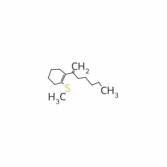 C=C(CCCCC)C1=C(SC)CCCC1